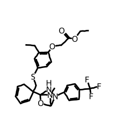 CCOC(=O)COc1ccc(SCC2(C34NN(c5ccc(C(F)(F)F)cc5)C(O3)N4C)C=CC=CC2)cc1CC